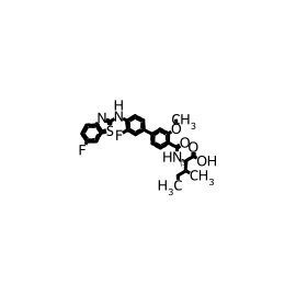 CCC(C)[C@H](NC(=O)c1ccc(-c2ccc(Nc3nc4ccc(F)cc4s3)c(F)c2)cc1OC)C(=O)O